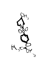 CC(C)Oc1ccc(S(=O)(=O)N2CC[C@@H](C)C2)cc1